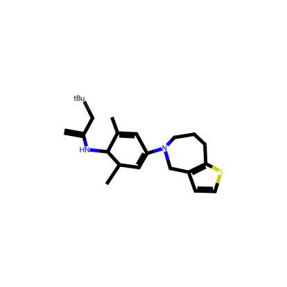 C=C(CC(C)(C)C)NC1C(C)=CC(N2CCCc3sccc3C2)=CC1C